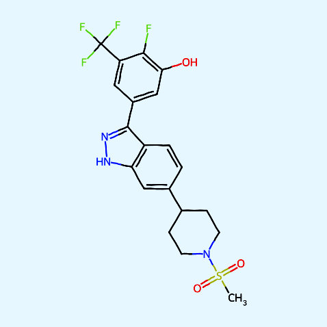 CS(=O)(=O)N1CCC(c2ccc3c(-c4cc(O)c(F)c(C(F)(F)F)c4)n[nH]c3c2)CC1